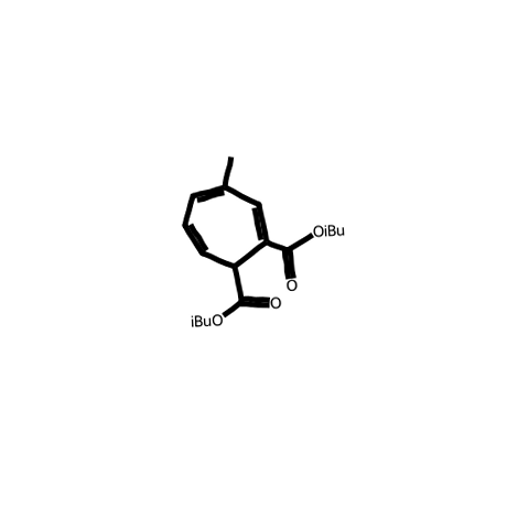 CC1=CC=CC(C(=O)OCC(C)C)C(C(=O)OCC(C)C)=C1